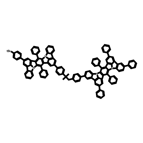 CC(C)(C)c1ccc(-c2cc3c4ccccc4n4c5c(-c6ccccc6)c6c7cc(-c8ccc(C(C)(C)Cc9ccc(-c%10ccc%11c(c%10)c%10cc(-c%12ccccc%12)cc%12c%13c(-c%14ccccc%14)c%14c(c(-c%15ccccc%15)c%13n%11c%10%12)c%10cc(-c%11ccccc%11)cc%11c%12cc(-c%13ccccc%13)ccc%12n%14c%11%10)cc9)cc8)cc8c9ccccc9n(c6c(-c6ccccc6)c5c(c2)c34)c87)cc1